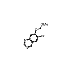 COCOc1cc2ncncc2cc1Br